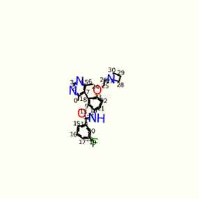 Cc1ncnc(C)c1-c1cc(NC(=O)c2cccc(F)c2)ccc1OCCN1CCC1